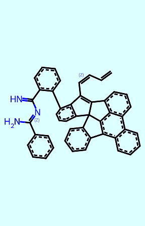 C=C/C=C\C1=C2c3cccc4c3c3c(c5ccccc54)-c4ccccc4C23c2cccc(-c3ccccc3C(=N)/N=C(\N)c3ccccc3)c21